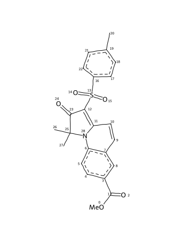 COC(=O)c1ccc2c(c1)C=CC1=C(S(=O)(=O)c3ccc(C)cc3)C(=O)C(C)(C)N12